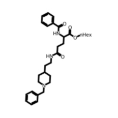 CCCCCCOC(=O)C(CCC(=O)NCCC1CCN(Cc2ccccc2)CC1)NC(=O)c1ccccc1